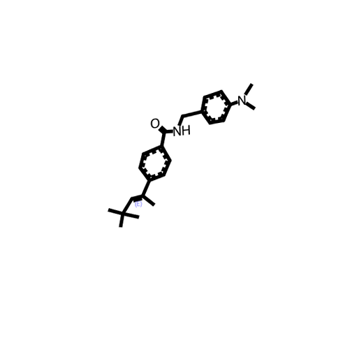 C/C(=C\C(C)(C)C)c1ccc(C(=O)NCc2ccc(N(C)C)cc2)cc1